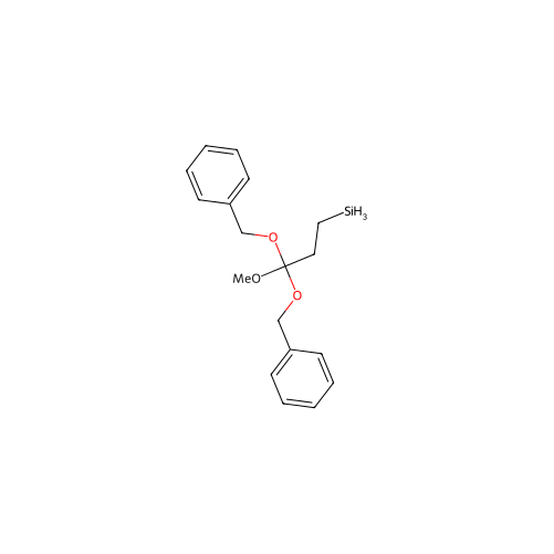 COC(CC[SiH3])(OCc1ccccc1)OCc1ccccc1